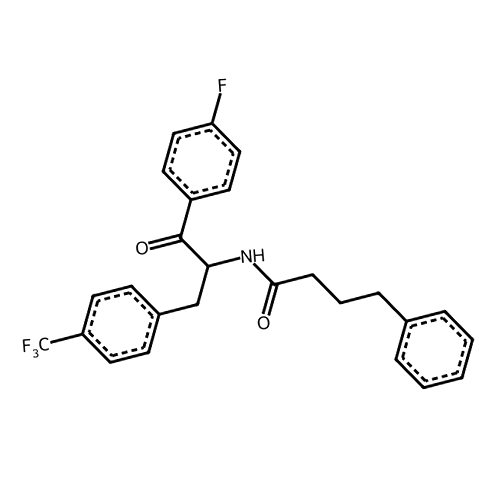 O=C(CCCc1ccccc1)NC(Cc1ccc(C(F)(F)F)cc1)C(=O)c1ccc(F)cc1